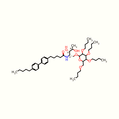 CCCCCc1ccc(-c2ccc(CCCCC(=O)N[C@@H](COC3OC(COCCCC)C(OCCCC)C(OCCCC)C3OCCCC)[C@H](O)[C@@H](C)O)cc2)cc1